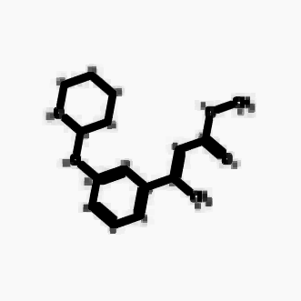 COC(=O)C=C(C)c1cccc(OC2CCCCO2)c1